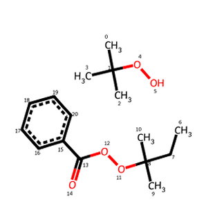 CC(C)(C)OO.CCC(C)(C)OOC(=O)c1ccccc1